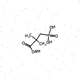 COC(=O)C(C)(C)CP(=O)(O)O